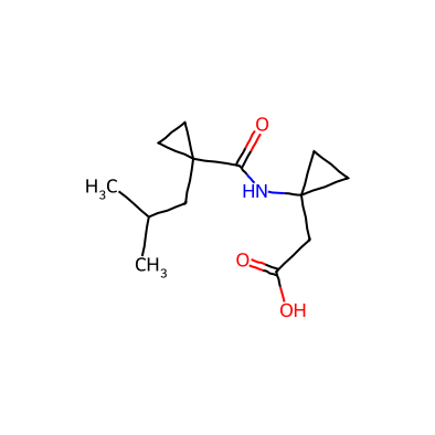 CC(C)CC1(C(=O)NC2(CC(=O)O)CC2)CC1